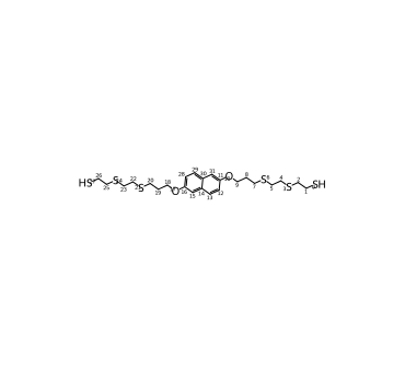 SCCSCCSCCCOc1ccc2cc(OCCCSCCSCCS)ccc2c1